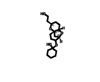 OCC[C@H]1CC[C@@H]2O[C@@H]3C[C@]2(CCC3OC2(O)CCCCC2)O1